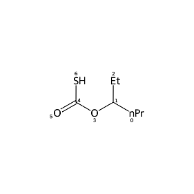 CCCC(CC)OC(=O)S